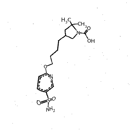 CC1(C)CC(CCCCOc2ccc(S(N)(=O)=O)cn2)CN1C(=O)O